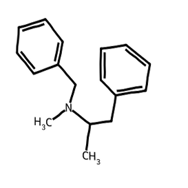 CC(Cc1ccccc1)N(C)Cc1ccccc1